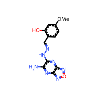 COc1ccc(C=NNc2nc3nonc3nc2N)c(O)c1